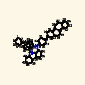 c1ccc(-c2ccc(N(c3ccc(-c4ccc5c(ccc6c7ccccc7ccc56)c4)cc3)c3cccc4c5ccccc5n(-c5ccccc5)c34)cc2)cc1